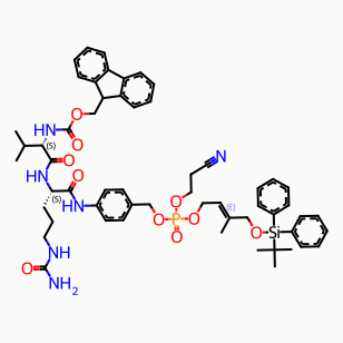 C/C(=C\COP(=O)(OCCC#N)OCc1ccc(NC(=O)[C@H](CCCNC(N)=O)NC(=O)[C@@H](NC(=O)OCC2c3ccccc3-c3ccccc32)C(C)C)cc1)CO[Si](c1ccccc1)(c1ccccc1)C(C)(C)C